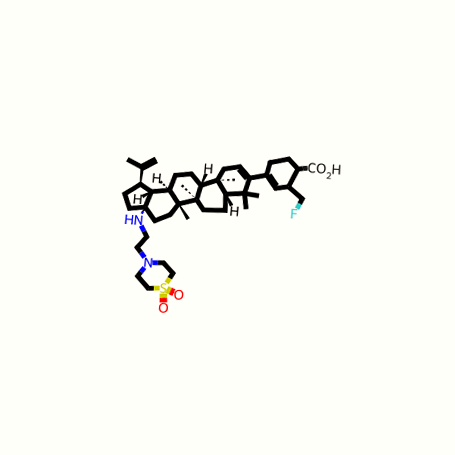 C=C(C)[C@@H]1CC[C@]2(NCCN3CCS(=O)(=O)CC3)CC[C@]3(C)[C@H](CC[C@@H]4[C@@]5(C)CC=C(C6=CC(CF)C(C(=O)O)CC6)C(C)(C)[C@@H]5CC[C@]43C)[C@@H]12